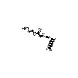 C=C.C=C.C=C.C=C.C=C.C=C.C=CC(=O)OCCO